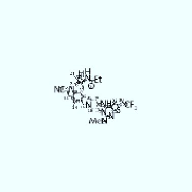 CCC(=O)NC12CC(Cn3c(C#N)cc4c(C)c(CN5CCC(Nc6nc(NC)nc7sc(CC(F)(F)F)cc67)CC5)ccc43)(C1)[C@@H]2C